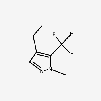 CCc1[c]nn(C)c1C(F)(F)F